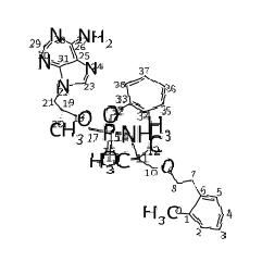 Cc1ccccc1CCOCC(C)(C)NP(=O)(CO[C@H](C)Cn1cnc2c(N)ncnc21)Oc1ccccc1